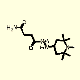 CN1C(C)(C)CC(NNC(=O)CCC(N)=O)CC1(C)C